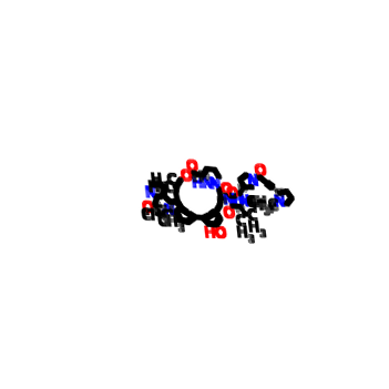 CCn1c(-c2cccnc2[C@H](C)OC)c2c3cc(ccc31)-c1cc(O)cc(c1)C[C@H](NC(=O)[C@H](C(C)C)N(C)C(=O)[C@H]1CCN(C(=O)C#C[C@@H]3CCCN3C)C1)C(=O)N1CCC[C@H](N1)C(=O)OCC(C)(C)C2